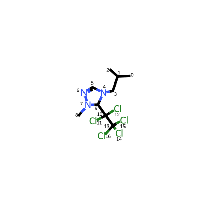 CC(C)CN1C=NN(C)C1C(Cl)(Cl)C(Cl)(Cl)Cl